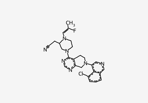 CC(F)=CN1CCN(c2ncnc3c2CCN(c2cncc4cccc(Cl)c24)C3)CC1CC#N